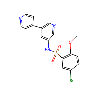 COc1ccc(Br)cc1S(=O)(=O)Nc1cncc(-c2ccncc2)c1